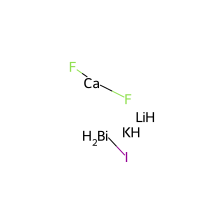 [F][Ca][F].[I][BiH2].[KH].[LiH]